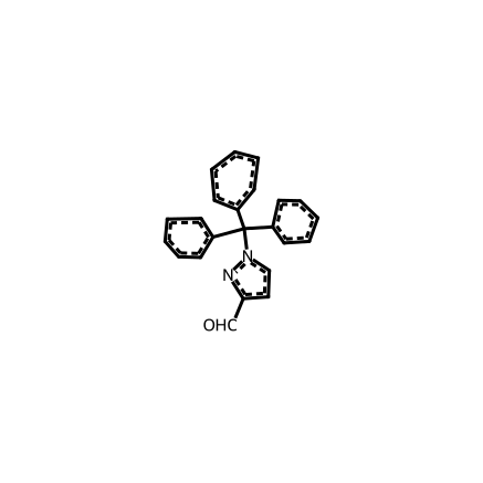 O=Cc1ccn(C(c2ccccc2)(c2ccccc2)c2ccccc2)n1